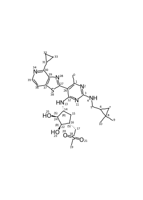 Cc1nc(NCC2CC2(C)C)nc(N[C@@H]2C[C@H](CS(C)(=O)=O)[C@@H](O)[C@H]2O)c1-c1nc2c(C3CC3)nccc2s1